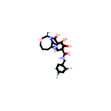 C[C@@H]1COCCC[C@H]2[C@H](C)N1C(=O)c1c(O)c(=O)c(C(=O)NCc3ccc(F)cc3F)cn12